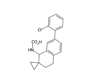 O=C(O)NC1c2cc(-c3ccccc3Cl)ccc2CCC12CC2